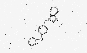 c1ccc(Oc2ccc(Cn3cnc4ccccc43)cc2)cc1